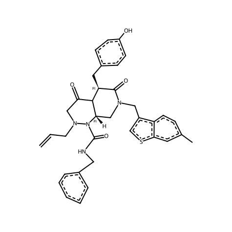 C=CCN1CC(=O)C2[C@@H](Cc3ccc(O)cc3)C(=O)N(Cc3csc4cc(C)ccc34)C[C@@H]2N1C(=O)NCc1ccccc1